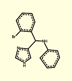 Brc1ccccc1C(Nc1ccccc1)c1c[nH]cn1